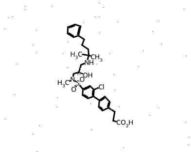 CN(C[C@H](O)CNC(C)(C)CCCc1ccccc1)S(=O)(=O)c1ccc(-c2ccc(CCC(=O)O)cc2)c(Cl)c1